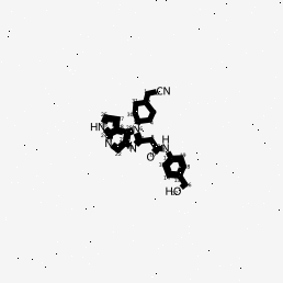 N#CCC1CCC(n2c(CC(=O)Nc3ccc(CO)cc3)nc3cnc4[nH]ccc4c32)CC1